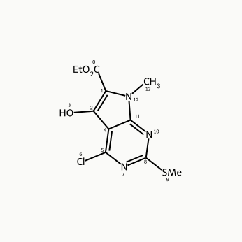 CCOC(=O)c1c(O)c2c(Cl)nc(SC)nc2n1C